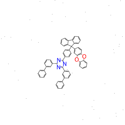 c1ccc(-c2cccc(-c3nc(-c4ccc(C5(c6ccc7c(c6)Oc6ccccc6O7)c6ccccc6-c6ccccc65)cc4)nc(-c4cccc(-c5ccccc5)c4)n3)c2)cc1